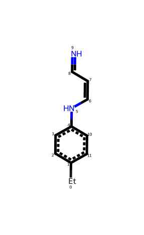 CCc1ccc(N/C=C\C=N)cc1